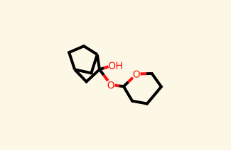 OC1(OC2CCCCO2)CC2CCC1C2